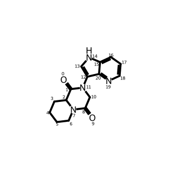 O=C1C2CCCCN2C(=O)CN1c1c[nH]c2cccnc12